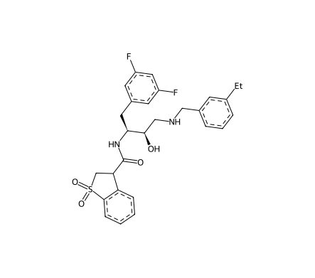 CCc1cccc(CNC[C@@H](O)[C@H](Cc2cc(F)cc(F)c2)NC(=O)C2CS(=O)(=O)c3ccccc32)c1